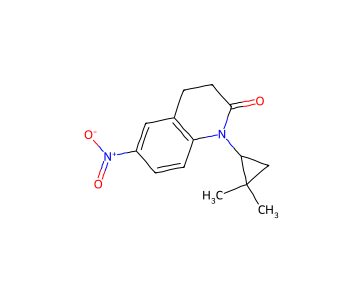 CC1(C)CC1N1C(=O)CCc2cc([N+](=O)[O-])ccc21